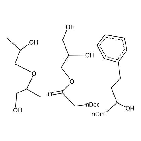 CC(O)COC(C)CO.CCCCCCCCC(O)CCc1ccccc1.CCCCCCCCCCCC(=O)OCC(O)CO